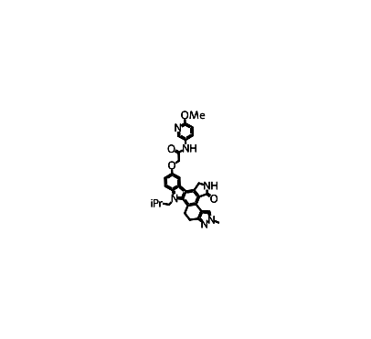 COc1ccc(NC(=O)COc2ccc3c(c2)c2c4c(c5c(c2n3CC(C)C)CCc2nn(C)cc2-5)C(=O)NC4)cn1